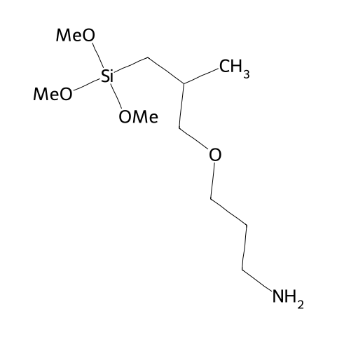 CO[Si](CC(C)COCCCN)(OC)OC